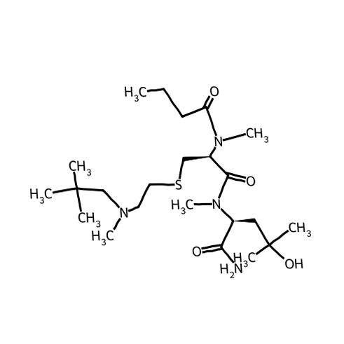 CCCC(=O)N(C)[C@H](CSCCN(C)CC(C)(C)C)C(=O)N(C)[C@@H](CC(C)(C)O)C(N)=O